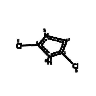 Clc1[c]nc(Cl)[nH]1